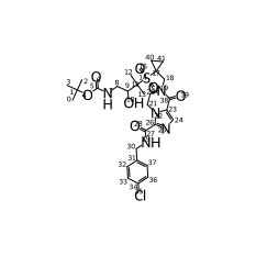 CC(C)(C)OC(=O)NCC(O)C(C)(C)S(=O)(=O)C1(CN2CCn3c(cnc3C(=O)NCc3ccc(Cl)cc3)C2=O)CC1